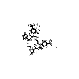 CCn1nc(C)cc1C(=O)Nc1nc2cc(C(N)=O)cnc2n1CC=CCn1c(NC(=O)c2nccs2)nc2cc(C(N)=O)cc(OC)c21